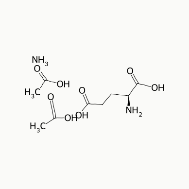 CC(=O)O.CC(=O)O.N.N[C@@H](CCC(=O)O)C(=O)O